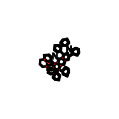 c1ccc(-n2c3ccccc3c3cccc(-c4ccccc4N(c4ccccc4-c4cccc5cccc(C6CCCCC6)c45)c4cccc5c4-c4ccccc4C5(c4ccccc4)c4ccccc4)c32)cc1